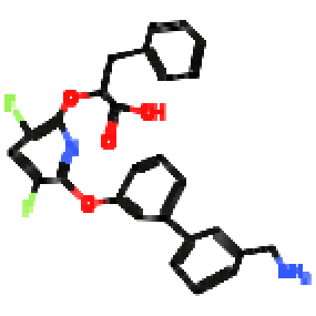 NCc1cccc(-c2cccc(Oc3nc(OC(Cc4ccccc4)C(=O)O)c(F)cc3F)c2)c1